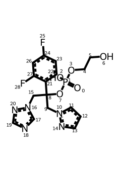 O=P(O)(OCCO)OC(Cn1cccn1)(Cn1cncn1)c1ccc(F)cc1F